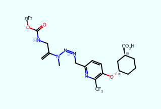 C=C(CNC(=O)OCCC)N(C)/N=N\Cc1ccc(O[C@H]2CCC[C@H](C(=O)O)C2)c(C(F)(F)F)n1